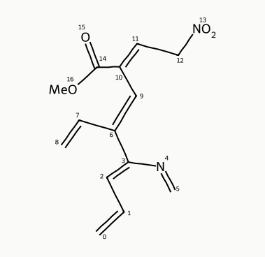 C=C/C=C(N=C)/C(C=C)=C/C(=C\C[N+](=O)[O-])C(=O)OC